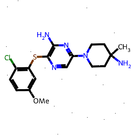 COc1ccc(Cl)c(Sc2ncc(N3CCC(C)(N)CC3)nc2N)c1